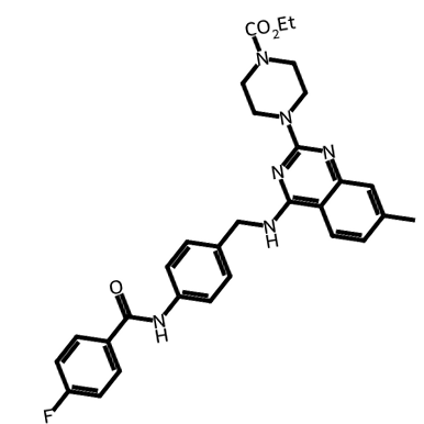 CCOC(=O)N1CCN(c2nc(NCc3ccc(NC(=O)c4ccc(F)cc4)cc3)c3ccc(C)cc3n2)CC1